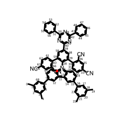 Cc1cc(C)cc(-c2ccc3c(c2)c2cc(-c4cc(C)cc(C)c4)ccc2n3-c2c(-c3ccc(C#N)cc3C#N)cc(-c3nc(-c4ccccc4)nc(-c4ccccc4)n3)cc2-c2ccc(C#N)cc2C#N)c1